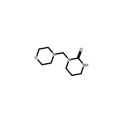 O=C1NCCCN1CN1CCOCC1